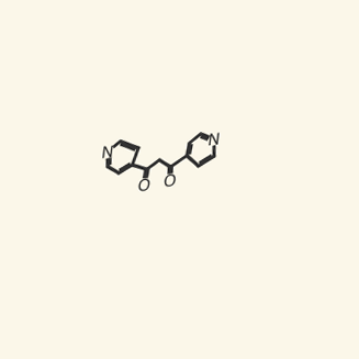 O=C(CC(=O)c1ccncc1)c1ccncc1